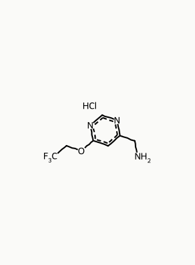 Cl.NCc1cc(OCC(F)(F)F)ncn1